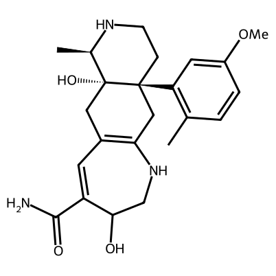 COc1ccc(C)c([C@]23CCN[C@H](C)[C@]2(O)CC2=C(C3)NCC(O)C(C(N)=O)=C2)c1